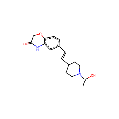 CB(O)N1CCC(C=Cc2ccc3c(c2)NC(=O)CO3)CC1